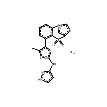 C.Cc1nc(Nc2cc[nH]n2)sc1-c1cccc2c1S(=O)(=O)c1cn-2cn1